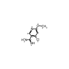 COc1cc(Cl)c(C(=N)N)cn1